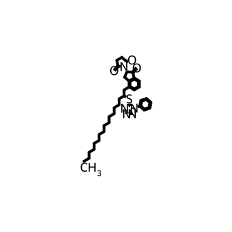 CCCCCCCCCCCCCCCCC(Cc1cccc2c1CC(N1C(=O)CCC1=O)C2=O)Sc1nnnn1-c1ccccc1